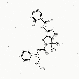 CNC[C@@H](NC(=O)N1Cc2c(NC(=O)c3ccccc3F)n[nH]c2C1(C)C)c1ccccc1